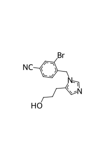 N#Cc1ccc(Cn2cncc2CCCO)c(Br)c1